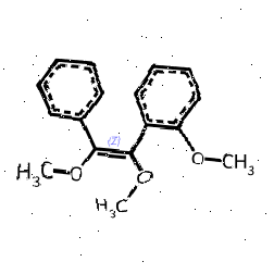 CO/C(=C(\OC)c1ccccc1OC)c1ccccc1